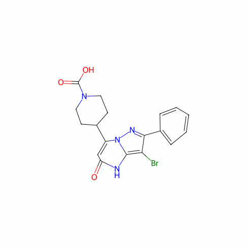 O=C(O)N1CCC(c2cc(=O)[nH]c3c(Br)c(-c4ccccc4)nn23)CC1